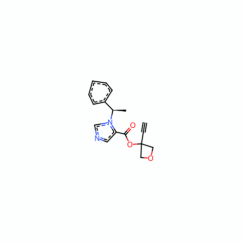 C#CC1(OC(=O)c2cncn2[C@H](C)c2ccccc2)COC1